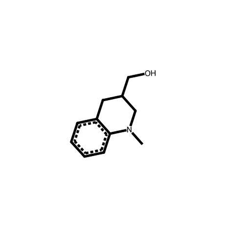 CN1CC(CO)Cc2ccccc21